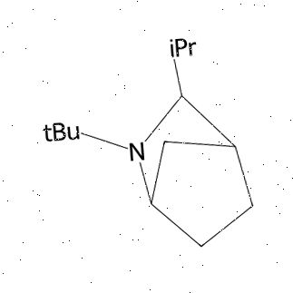 CC(C)C1C2CCC(C2)N1C(C)(C)C